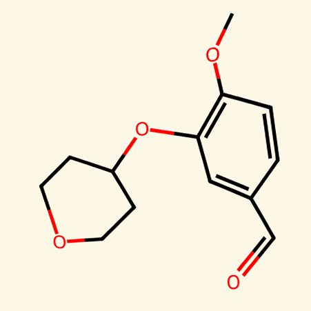 COc1ccc(C=O)cc1OC1CCOCC1